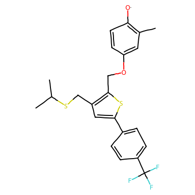 Cc1cc(OCc2sc(-c3ccc(C(F)(F)F)cc3)cc2CSC(C)C)ccc1[O]